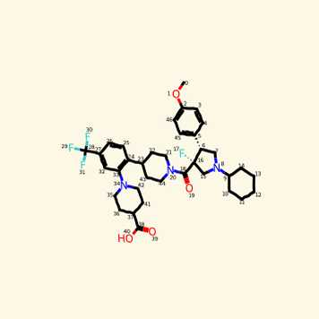 COc1ccc([C@@H]2CN(C3CCCCC3)C[C@@]2(F)C(=O)N2CCC(c3ccc(C(F)(F)F)cc3N3CCC(C(=O)O)CC3)CC2)cc1